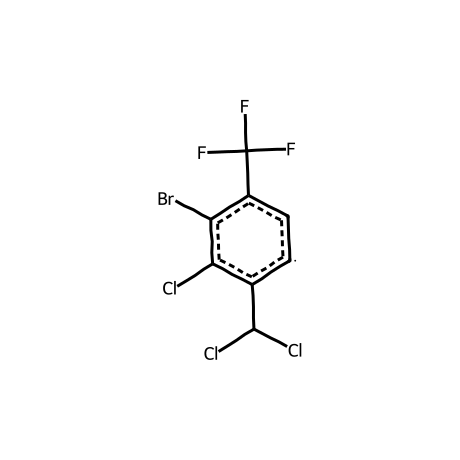 FC(F)(F)c1c[c]c(C(Cl)Cl)c(Cl)c1Br